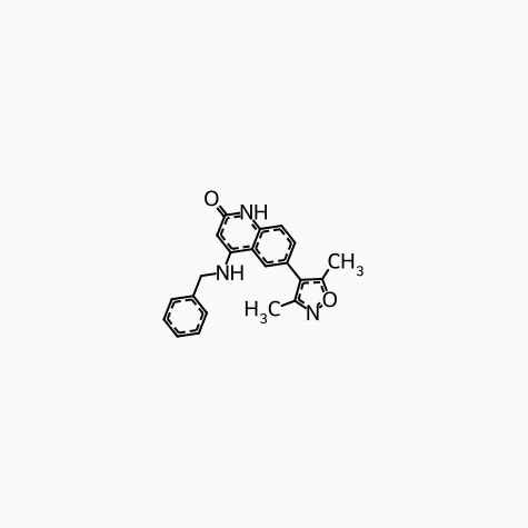 Cc1noc(C)c1-c1ccc2[nH]c(=O)cc(NCc3ccccc3)c2c1